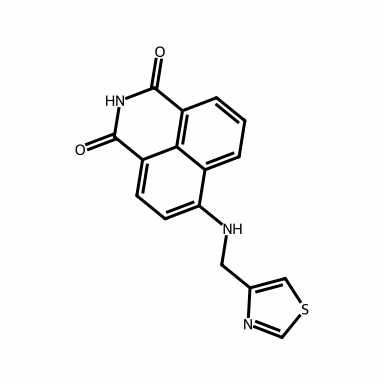 O=C1NC(=O)c2ccc(NCc3cscn3)c3cccc1c23